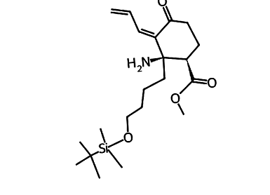 C=C/C=C1\C(=O)CC[C@@H](C(=O)OC)[C@]1(N)CCCCO[Si](C)(C)C(C)(C)C